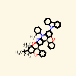 CC1CCCCC1N1c2cc(N3c4ccccc4C4CC=CCC43)cc3c2B(c2cc4c(nc21)OC1(C)C=C(C(C)(C)C)CC2Oc5ccccc5B4C21)C1C=CCCC1O3